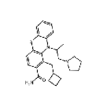 CC(CN1CCCC1)N1c2ccccc2Sc2ccc(C(N)=O)c(CC3CCC3)c21